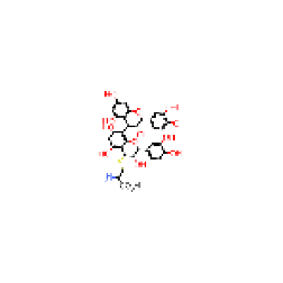 N[C@@H](CS[C@H]1C2=C(O)CC(O)C([C@H]3c4c(O)cc(O)cc4O[C@H](c4ccc(O)c(O)c4)[C@@H]3O)=C2O[C@H](C2=CCC(O)C(O)=C2)[C@@H]1O)C(=O)O